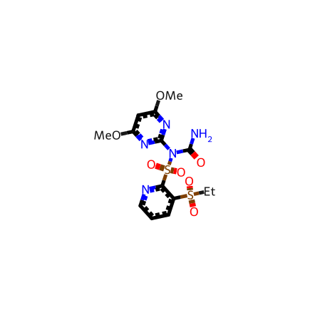 CCS(=O)(=O)c1cccnc1S(=O)(=O)N(C(N)=O)c1nc(OC)cc(OC)n1